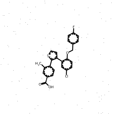 Cc1cc(C(=O)O)ccc1-c1sccc1-c1cc(Cl)ccc1OCc1ccc(F)cc1